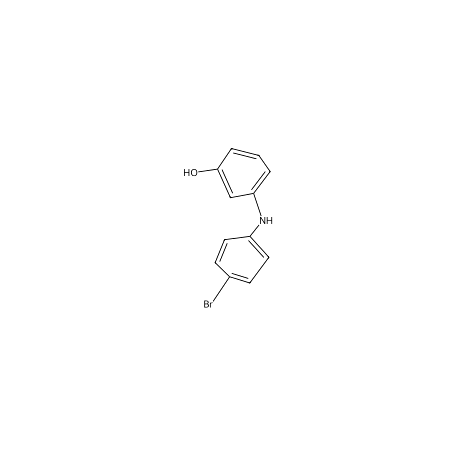 Oc1cccc(Nc2ccc(Br)cc2)c1